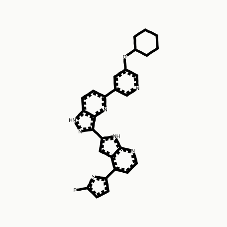 Fc1ccc(-c2ccnc3[nH]c(-c4n[nH]c5ccc(-c6cncc(OC7CCCCC7)c6)nc45)cc23)s1